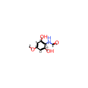 COc1cc(O)c(N[C]=O)c(O)c1